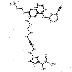 C#Cc1cccc(Nc2ncnc3cc(OCCOC)c(OCCOCC#CCOc4cc(C(C(=O)OC)C(C)C)on4)cc23)c1